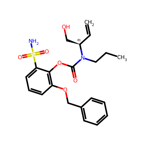 C=C[C@H](CO)N(CCC)C(=O)Oc1c(OCc2ccccc2)cccc1S(N)(=O)=O